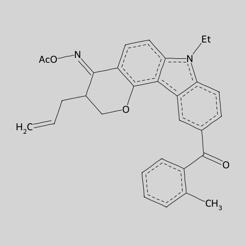 C=CCC1COc2c(ccc3c2c2cc(C(=O)c4ccccc4C)ccc2n3CC)/C1=N/OC(C)=O